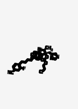 C[C@@H](S[C@H]1CO[C@H](/C=C/C=C/c2ccc(C#N)cc2F)OC1)[C@@](Cn1cncn1)(OC(=O)OCCCl)c1ccc(F)cc1F